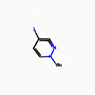 CC(C)(C)N1C=CC(I)=C=N1